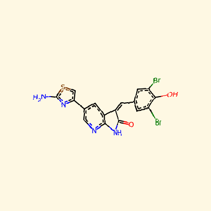 Nc1nc(-c2cnc3c(c2)C(=Cc2cc(Br)c(O)c(Br)c2)C(=O)N3)cs1